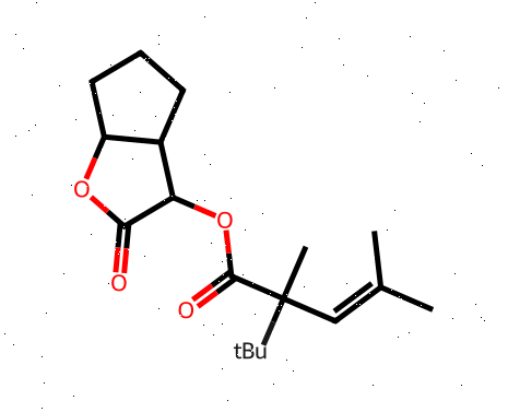 CC(C)=CC(C)(C(=O)OC1C(=O)OC2CCCC21)C(C)(C)C